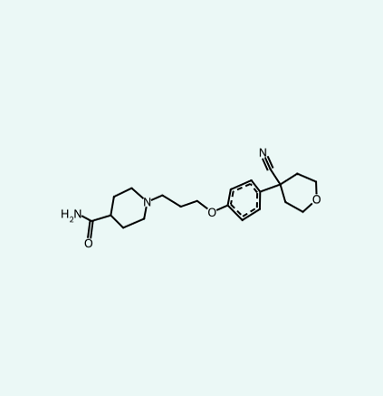 N#CC1(c2ccc(OCCCN3CCC(C(N)=O)CC3)cc2)CCOCC1